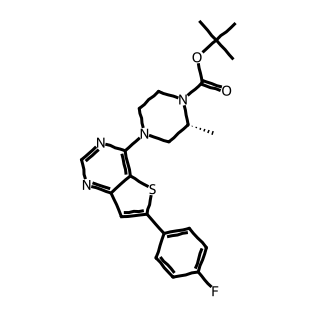 C[C@@H]1CN(c2ncnc3cc(-c4ccc(F)cc4)sc23)CCN1C(=O)OC(C)(C)C